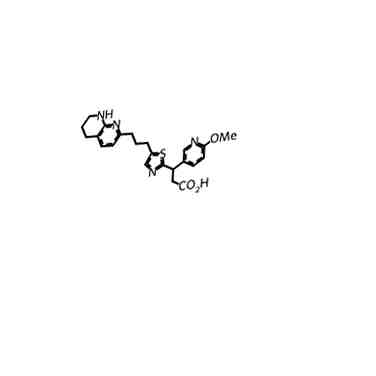 COc1ccc(C(CC(=O)O)c2ncc(CCCc3ccc4c(n3)NCCC4)s2)cn1